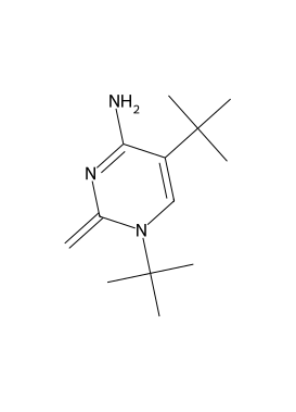 C=C1N=C(N)C(C(C)(C)C)=CN1C(C)(C)C